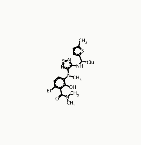 CCc1ccc(N(C)c2nsnc2N[C@@H](c2ccc(C)s2)C(C)(C)C)c(O)c1C(=O)N(C)C